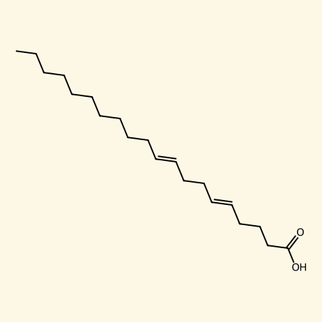 CCCCCCCCCCC=CCCC=CCCCC(=O)O